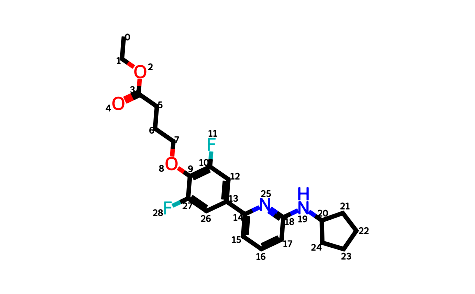 CCOC(=O)CCCOc1c(F)cc(-c2cccc(NC3CCCC3)n2)cc1F